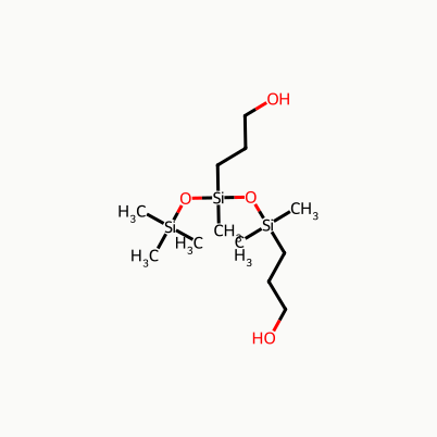 C[Si](C)(C)O[Si](C)(CCCO)O[Si](C)(C)CCCO